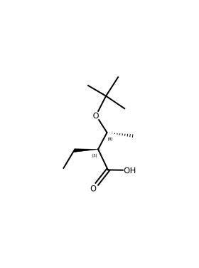 CC[C@H](C(=O)O)[C@@H](C)OC(C)(C)C